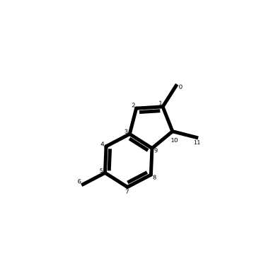 CC1=Cc2cc(C)ccc2C1C